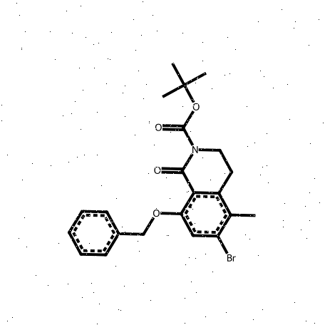 Cc1c(Br)cc(OCc2ccccc2)c2c1CCN(C(=O)OC(C)(C)C)C2=O